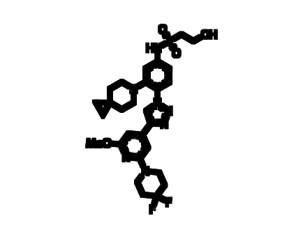 COc1cc(-c2cn(-c3ccc(NS(=O)(=O)CCO)cc3N3CCC4(CC3)CC4)nn2)cc(N2CCC(F)(F)CC2)n1